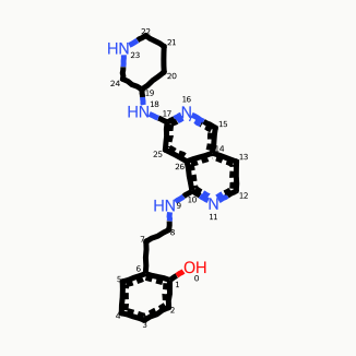 Oc1ccccc1CCNc1nccc2cnc(NC3CCCNC3)cc12